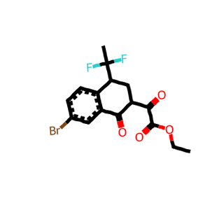 CCOC(=O)C(=O)C1CC(C(C)(F)F)c2ccc(Br)cc2C1=O